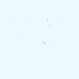 Cc1cc(C)cc(-c2ccccc2N(C[C@@H]2CCN(C)C2)C(=O)O)c1